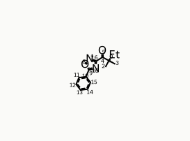 CCC(C)(C)C(=O)c1noc(-c2ccccc2)n1